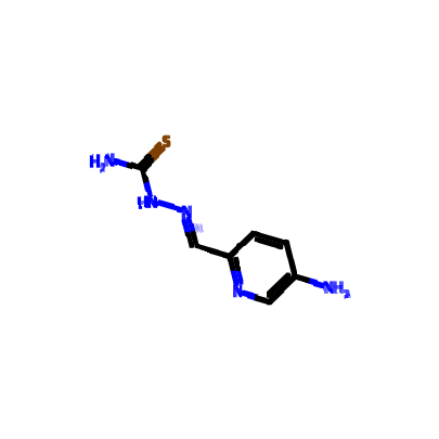 NC(=S)N/N=C/c1ccc(N)cn1